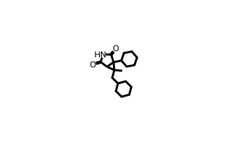 CC1(CC2CCCCC2)C2C(=O)NC(=O)C21C1CCCCC1